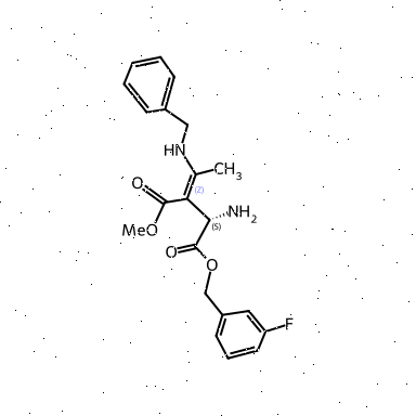 COC(=O)/C(=C(/C)NCc1ccccc1)[C@H](N)C(=O)OCc1cccc(F)c1